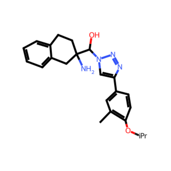 Cc1cc(-c2cn(C(O)C3(N)CCc4ccccc4C3)nn2)ccc1OC(C)C